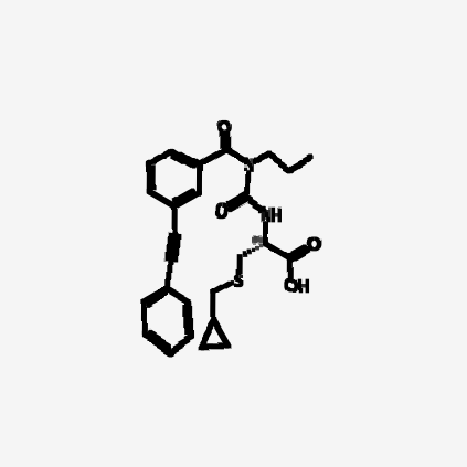 CCCN(C(=O)N[C@@H](CSCC1CC1)C(=O)O)C(=O)c1cccc(C#Cc2ccccc2)c1